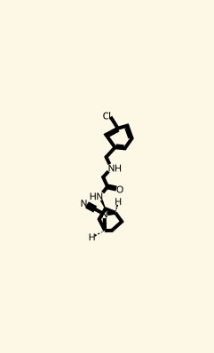 N#CN1[C@H]2CC[C@@H]1[C@H](NC(=O)CNCc1cccc(Cl)c1)C2